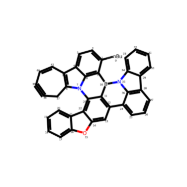 CCCCc1ccc2c3c(n4c2c1B1c2c(cc5oc6ccccc6c5c2-4)-c2cccc4c5ccccc5n1c24)CC#CC=C3